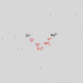 O.O.[Mg+2].[O-2].[O-2].[O-2].[Zr+4]